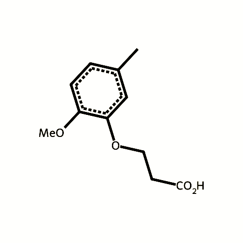 COc1ccc(C)cc1OCCC(=O)O